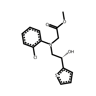 COC(=O)CN(C[C@H](O)c1cccs1)c1ccccc1Cl